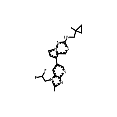 Cc1nc2ncc(-c3ccn4nc(NCC5(C)CC5)ncc34)cc2n1CC(F)F